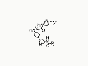 CN(C)Cc1ccc(NC(=O)c2n[nH]c3ccc(-c4cncc(NC(=O)N(C)C)c4)cc23)cn1